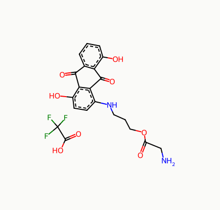 NCC(=O)OCCCNc1ccc(O)c2c1C(=O)c1c(O)cccc1C2=O.O=C(O)C(F)(F)F